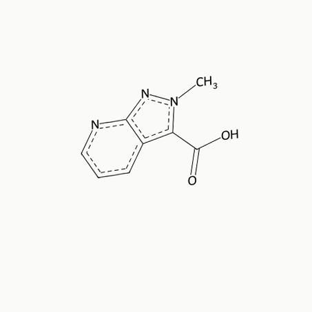 Cn1nc2ncccc2c1C(=O)O